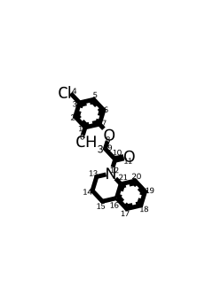 Cc1cc(Cl)ccc1OCC(=O)N1CCCc2ccccc21